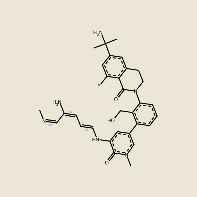 C\N=C/C(N)=C\C=C\Nc1cc(-c2cccc(N3CCc4cc(C(C)(C)N)cc(F)c4C3=O)c2CO)cn(C)c1=O